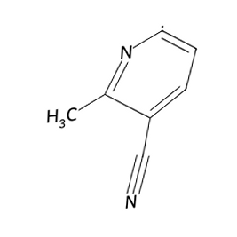 Cc1n[c]ccc1C#N